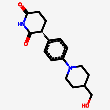 O=C1CC[C@H](c2ccc(N3CCC(CO)CC3)cc2)C(=O)N1